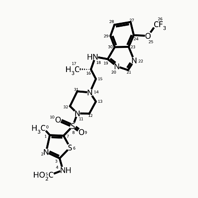 Cc1nc(NC(=O)O)sc1S(=O)(=O)N1CCN(C[C@H](C)Nc2ncnc3c(OC(F)(F)F)cccc23)CC1